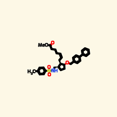 COC(=O)CCC/C=C\C[C@@H]1[C@@H](CNS(=O)(=O)c2ccc(C)cc2)CC[C@@H]1OCc1ccc(-c2ccccc2)cc1